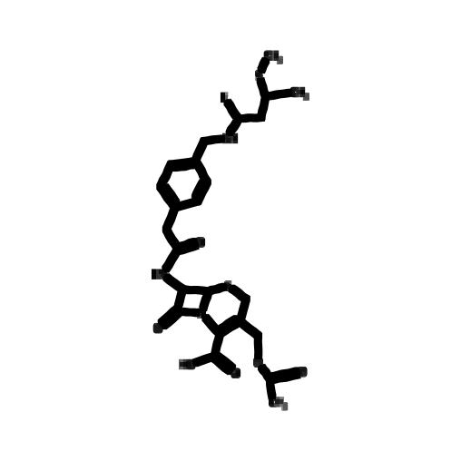 CSC(C)CC(F)NCc1ccc(CC(=O)NC2C(=O)N3C(C(=O)O)=C(COC(C)=O)CSC23)cc1